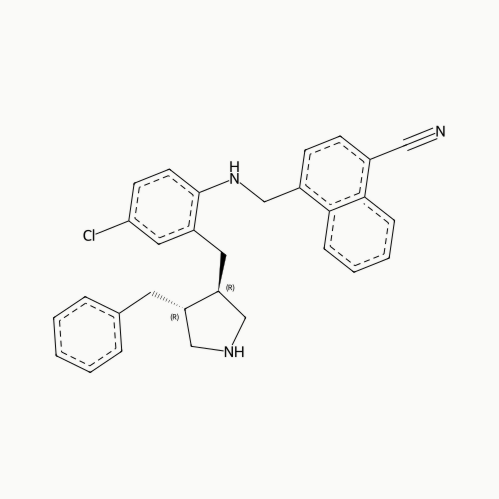 N#Cc1ccc(CNc2ccc(Cl)cc2C[C@H]2CNC[C@@H]2Cc2ccccc2)c2ccccc12